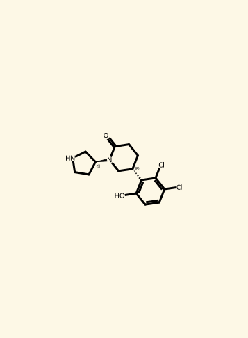 O=C1CC[C@H](c2c(O)ccc(Cl)c2Cl)CN1[C@H]1CCNC1